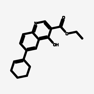 CCOC(=O)c1cnc2ccc(C3=CCCCC3)cc2c1O